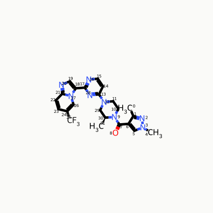 Cc1nn(C)cc1C(=O)N1CCN(c2ccnc(-c3cnc4ccc(C(F)(F)F)cn34)n2)C[C@@H]1C